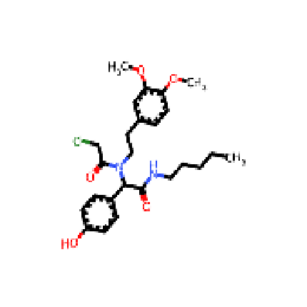 CCCCCNC(=O)C(c1ccc(O)cc1)N(CCc1ccc(OC)c(OC)c1)C(=O)CCl